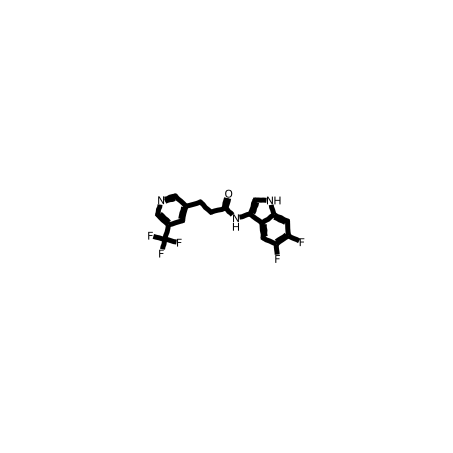 O=C(CCc1cncc(C(F)(F)F)c1)Nc1c[nH]c2cc(F)c(F)cc12